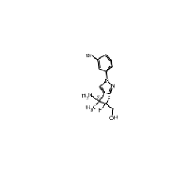 C[C@@](N)(c1cnn(-c2cccc(Br)c2)c1)C(F)(F)CO